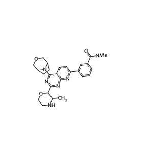 CNC(=O)c1cccc(-c2ccc3c(N4C5CCC4COC5)nc(C4OCCNC4C)nc3n2)c1